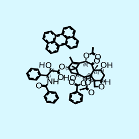 CC(=O)O[C@H]1C(=O)[C@@]2(C)[C@H]([C@H](OC(=O)c3ccccc3)[C@]3(O)C[C@H](OC(=O)[C@H](O)[C@@H](NC(=O)c4ccccc4)c4ccccc4)C(C)=C1C3(C)C)[C@]1(OC(C)=O)CO[C@@H]1C[C@@H]2O.c1cc2cccc3c4cccc5cccc(c(c1)c23)c54